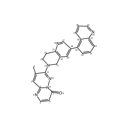 Cc1cc2nccc(=O)n2nc1N1CCc2ncc(-c3cccc4ncccc34)cc2C1